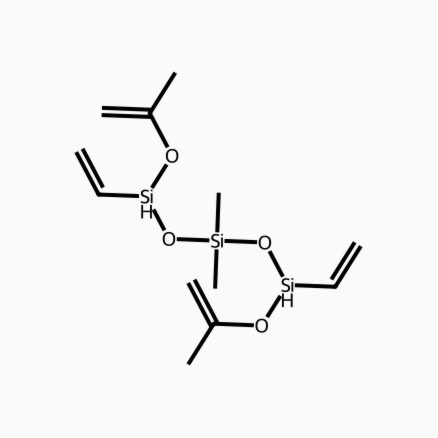 C=C[SiH](OC(=C)C)O[Si](C)(C)O[SiH](C=C)OC(=C)C